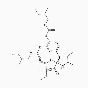 CCC(C)COC(=O)Oc1ccc(C[C@](NC(C)CC)(OC(=O)C(C)(C)CC)C(=O)O)cc1OC(=O)OCC(C)CC